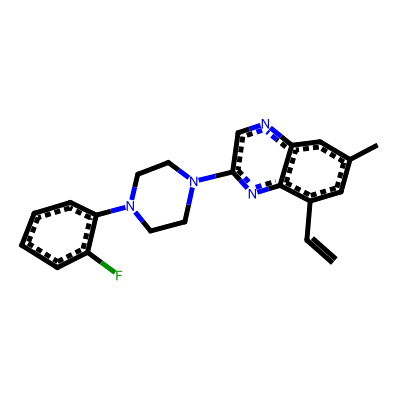 C=Cc1cc(C)cc2ncc(N3CCN(c4ccccc4F)CC3)nc12